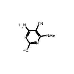 CNc1nc(O)nc(N)c1C#N